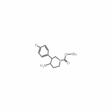 CC(C)(C)OC(=O)N1CCC(N)C(c2ccc(F)cc2)C1